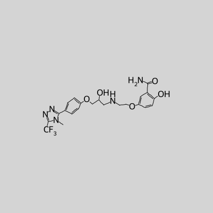 Cn1c(-c2ccc(OCC(O)CNCCOc3ccc(O)c(C(N)=O)c3)cc2)nnc1C(F)(F)F